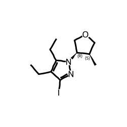 CCc1c(I)nn([C@H]2COC[C@H]2C)c1CC